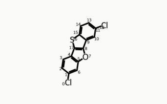 Clc1ccc2c(c1)oc1c3cc(Cl)ccc3sc21